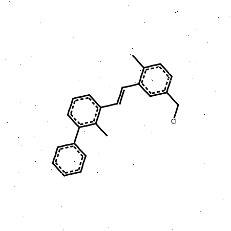 Cc1ccc(CCl)cc1/C=C/c1cccc(-c2ccccc2)c1C